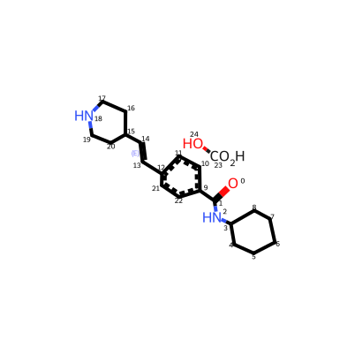 O=C(NC1CCCCC1)c1ccc(/C=C/C2CCNCC2)cc1.O=C(O)O